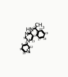 CC(NC1=NCN(c2cccnc2)C=C1)c1ccccc1